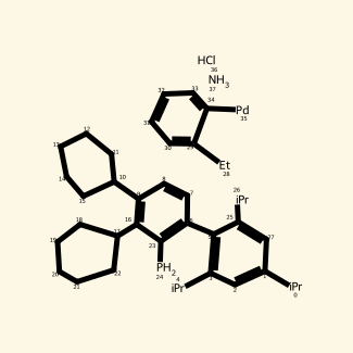 CC(C)c1cc(C(C)C)c(-c2ccc(C3CCCCC3)c(C3CCCCC3)c2P)c(C(C)C)c1.CCc1cccc[c]1[Pd].Cl.N